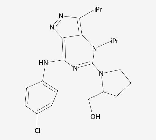 CC(C)c1nnc2c(Nc3ccc(Cl)cc3)nc(N3CCCC3CO)n(C(C)C)c1-2